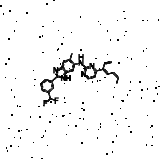 C=C/C(=C\C=C/C)c1ccnc(Nc2cc3[nH]c(-c4cccc(C(F)F)c4)nc3cc2C)n1